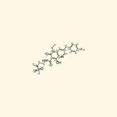 CCn1c(=O)c(C(=O)NCCN(C)S(C)(=O)=O)c(O)c2ncc(Cc3ccc(F)cc3)cc21